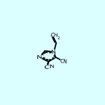 C=Cn1cnc(C#N)c1C#N